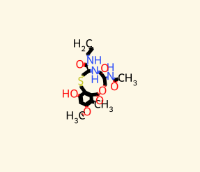 C=CCNC(=O)[C@@H]1CSCc2c(O)cc(OC)c(C)c2C(=O)OC[C@H](NC(C)=O)C(=O)N1